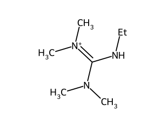 [CH2]CNC(N(C)C)=[N+](C)C